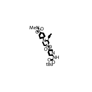 CC#C[C@H]1CN(S(=O)(=O)c2ccc(NC(=O)OC(C)(C)C)nc2)CCN1c1ccc(S(=O)(=O)NC)cc1